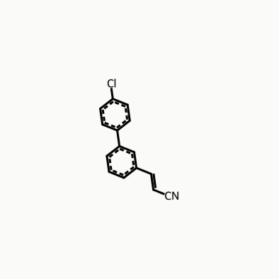 N#CC=Cc1cccc(-c2ccc(Cl)cc2)c1